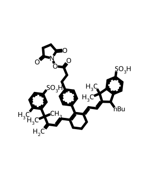 C=C(/C=C/C1=C(c2ccc(CCC(=O)ON3C(=O)CCC3=O)cc2)C(=C/C=C2/C(CCCC)c3ccc(S(=O)(=O)O)cc3C2(C)C)/CCC1)C(C)(C)c1cc(S(=O)(=O)O)ccc1C